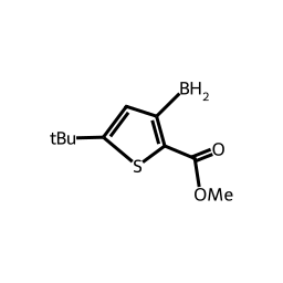 Bc1cc(C(C)(C)C)sc1C(=O)OC